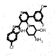 COc1cc(F)cc(-c2cncc(-c3nc4ccc(Cl)cc4[nH]3)c2N2CC[C@H](N)[C@H](O)C2)c1